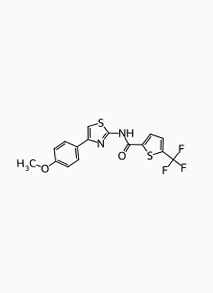 COc1ccc(-c2csc(NC(=O)c3ccc(C(F)(F)F)s3)n2)cc1